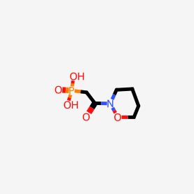 O=C(CP(=O)(O)O)N1CCCCO1